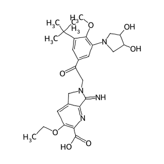 CCOc1cc2c(nc1C(=O)O)C(=N)N(CC(=O)c1cc(N3CC(O)C(O)C3)c(OC)c(C(C)(C)C)c1)C2